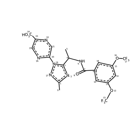 Cc1nc(C(C)NC(=O)c2cc(OC(F)(F)F)cc(OC(F)(F)F)c2)n(-c2cnc(C(=O)O)cn2)n1